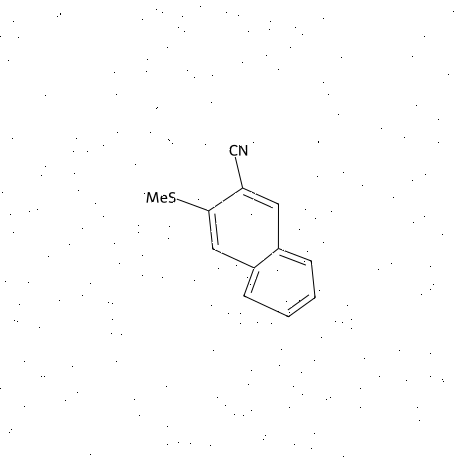 CSc1cc2ccccc2cc1C#N